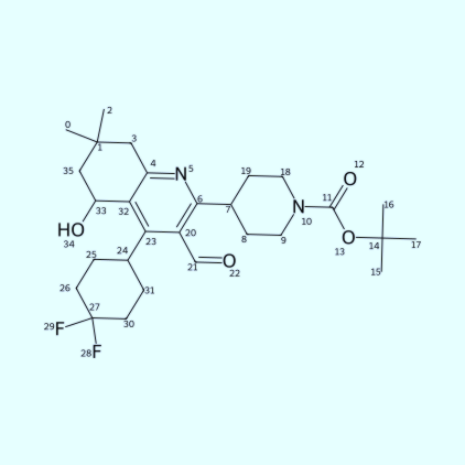 CC1(C)Cc2nc(C3CCN(C(=O)OC(C)(C)C)CC3)c(C=O)c(C3CCC(F)(F)CC3)c2C(O)C1